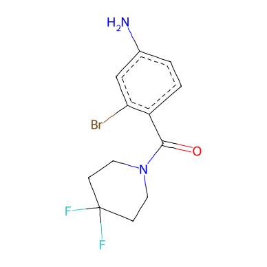 Nc1ccc(C(=O)N2CCC(F)(F)CC2)c(Br)c1